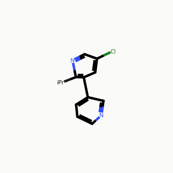 CC(C)c1ncc(Cl)cc1-c1cccnc1